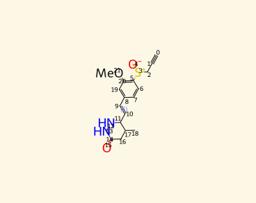 C#CC[S+]([O-])c1ccc(/C=C/C2NNC(=O)CC2C)cc1OC